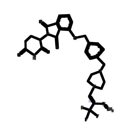 C=N/C(=C\N1CCN(Cc2ccc(COc3cccc4c3C(=O)N(C3CCC(=O)NC3=O)C4=O)cc2)CC1)C(F)(F)F